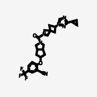 N#Cc1cc(C(F)(F)F)ccc1OC1CC2CN(C(=O)N3CC4(CC(n5cnc(C6CC6)n5)C4)C3)CC2C1